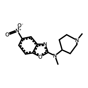 CN1CCC(N(C)c2nc3cc([N+](=O)[O-])ccc3o2)CC1